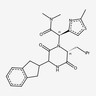 Cc1nc([C@H](C(=O)N(C)C)N2C(=O)C(C3Cc4ccccc4C3)NC(=O)[C@H]2CC(C)C)cs1